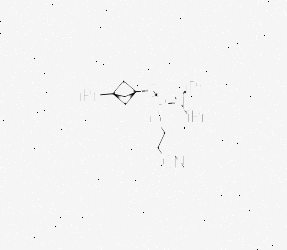 CC(C)N(C(C)C)P(OCCC#N)OC12CC(C(C)C)(C1)C2